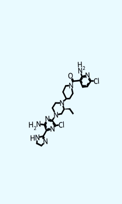 CC[C@H]1CN(c2nc(N)c(C3=NCCN3)nc2Cl)CCN1C1CCN(C(=O)c2ccc(Cl)nc2N)CC1